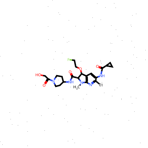 CCc1nc2c(cc1NC(=O)C1CC1)C(OCCF)C(C(=O)NC1CCN(C(=O)CO)CC1)N2C